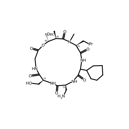 CCCCCCCCCC[C@H]1OC(=O)CNC(=O)[C@H](CO)NC(=O)[C@H](CN)NC(=O)C(C2CCCCC2)NC(=O)[C@H](CC(C)C)N(C)C(=O)[C@@H]1C